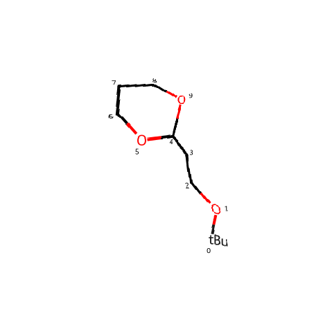 CC(C)(C)OCCC1OCCCO1